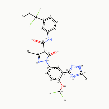 CCC(F)(F)c1cccc(NC(=O)C2C(=O)N(c3ccc(OC(F)F)c(-c4nnc(C)[nH]4)c3)N=C2C)c1